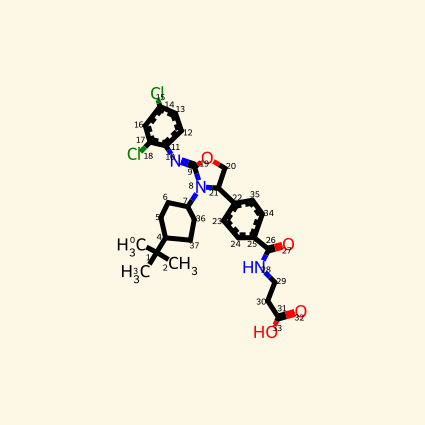 CC(C)(C)C1CCC(N2/C(=N/c3ccc(Cl)cc3Cl)OCC2c2ccc(C(=O)NCCC(=O)O)cc2)CC1